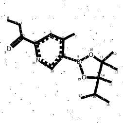 CCC(=O)c1cc(C)c(B2OC(C)(C)C(C)(C(C)C)O2)cn1